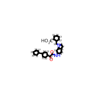 O=C(Nc1ccc2ccn(Cc3ccccc3C(=O)O)c2c1)C(=O)c1ccc(-c2ccccc2)cc1